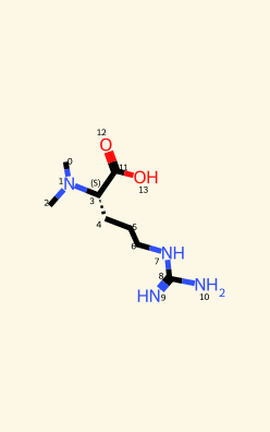 CN(C)[C@@H](CCCNC(=N)N)C(=O)O